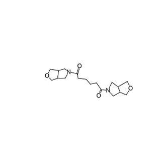 O=C(CCCCC(=O)N1CC2COCC2C1)N1CC2COCC2C1